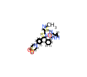 Cc1ncc(-c2nc([C@@H]3CCCC[C@H]3C(=O)NC3(C#N)CC3)c(-c3ccc(N4CCS(=O)(=O)CC4)cc3)s2)s1